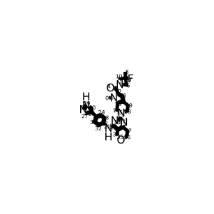 Cn1c(C(=O)N2CC(C)(F)C2)cc2c1CN(c1nc3c(c(Nc4ccc(-c5cn[nH]c5)cc4)n1)COCC3)CC2